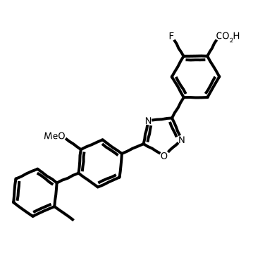 COc1cc(-c2nc(-c3ccc(C(=O)O)c(F)c3)no2)ccc1-c1ccccc1C